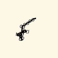 C#CCOCCOCCOCCOCCS(=O)(=O)CCCn1c(CN2C(=O)C3(CCN(S(=O)(=O)C(C)C)CC3)c3ccncc32)nc2cc(Cl)ccc21